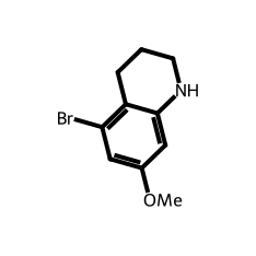 COc1cc(Br)c2c(c1)NCCC2